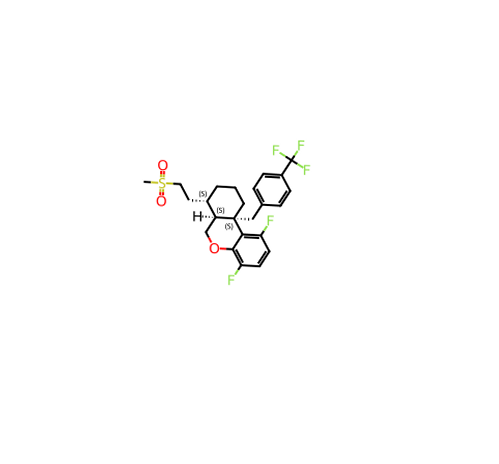 CS(=O)(=O)CC[C@@H]1CCC[C@@]2(Cc3ccc(C(F)(F)F)cc3)c3c(F)ccc(F)c3OC[C@@H]12